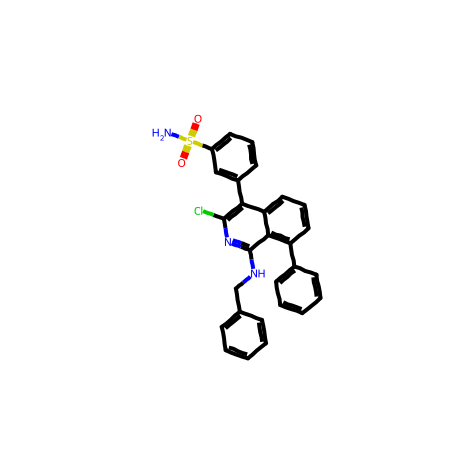 NS(=O)(=O)c1cccc(-c2c(Cl)nc(NCc3ccccc3)c3c(-c4ccccc4)cccc23)c1